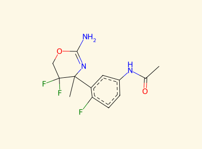 CC(=O)Nc1ccc(F)c(C2(C)N=C(N)OCC2(F)F)c1